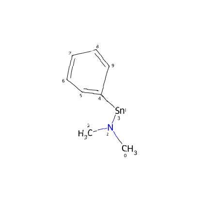 C[N](C)[Sn][c]1ccccc1